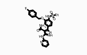 CCS(=O)(=O)Nc1ccc(-c2n[nH]c(Nc3ccccn3)c2C(N)=O)cc1OCc1ccc(F)cc1